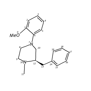 COc1ccccc1N1CCN(C)[C@H](Cc2ccccc2)C1